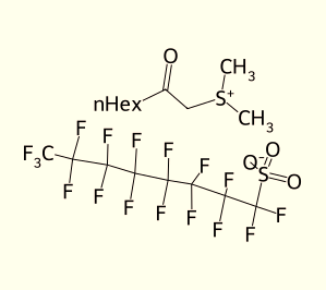 CCCCCCC(=O)C[S+](C)C.O=S(=O)([O-])C(F)(F)C(F)(F)C(F)(F)C(F)(F)C(F)(F)C(F)(F)C(F)(F)C(F)(F)F